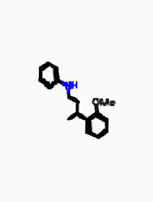 COc1ccccc1C(C)CCNc1ccccc1